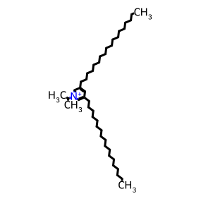 CCCCCCCCCCCCCCCCCCc1cc(CCCCCCCCCCCCCCCCCC)c[n+](C(C)C)c1